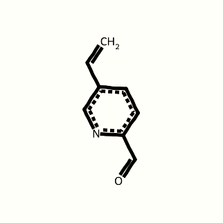 C=Cc1ccc(C=O)nc1